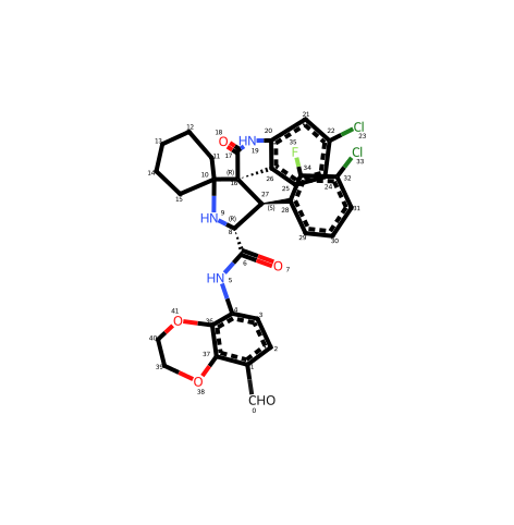 O=Cc1ccc(NC(=O)[C@@H]2NC3(CCCCC3)[C@@]3(C(=O)Nc4cc(Cl)ccc43)[C@H]2c2cccc(Cl)c2F)c2c1OCCO2